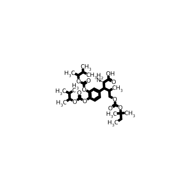 CCC(C)(C)OC(=O)OCC(C)C(c1ccc(OC(=O)OC(C)C(C)C)c(OC(=O)OC(C)C(C)C)c1)[C@H](N)C(=O)O